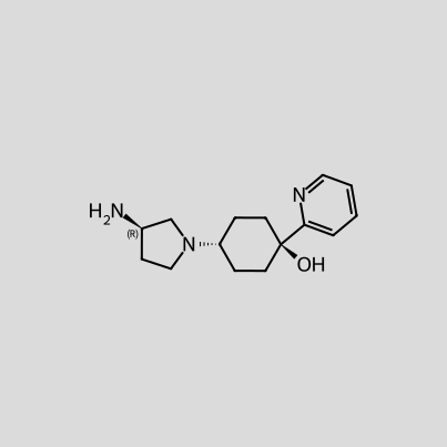 N[C@@H]1CCN([C@H]2CC[C@@](O)(c3ccccn3)CC2)C1